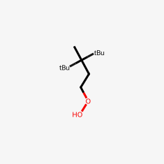 CC(C)(C)C(C)(CCOO)C(C)(C)C